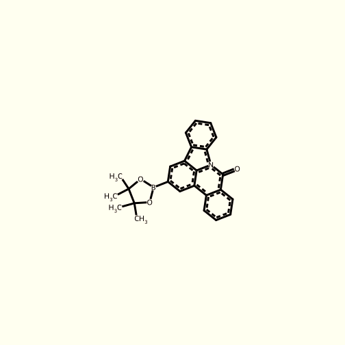 CC1(C)OB(c2cc3c4ccccc4c(=O)n4c5ccccc5c(c2)c34)OC1(C)C